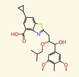 COc1cc(C(O)C(Cc2nc3c(C(=O)O)cc(C4CC4)cc3s2)OCC(C)C)cc(OC)c1C